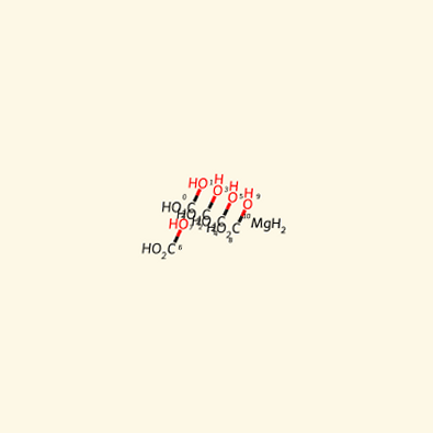 O=C(O)O.O=C(O)O.O=C(O)O.O=C(O)O.O=C(O)O.[MgH2]